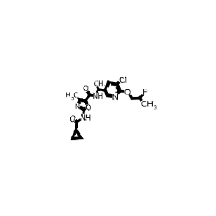 Cc1nc(NC(=O)C2CC2)oc1C(=O)NC(C)c1cnc(OCC(C)F)c(Cl)c1